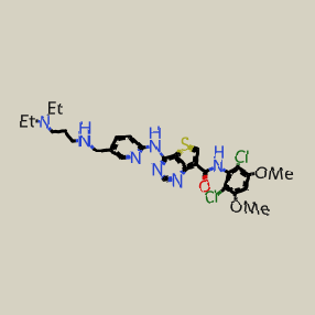 CCN(CC)CCCNCc1ccc(Nc2ncnc3c(C(=O)Nc4c(Cl)c(OC)cc(OC)c4Cl)csc23)nc1